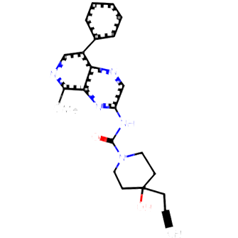 C#CCC1(O)CCN(C(=O)Nc2cnc3c(-c4ccccc4)cnc(OC)c3n2)CC1